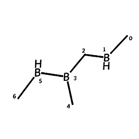 CBCB(C)BC